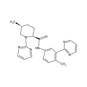 Cc1ccc(NC(=O)[C@@H]2CC[C@H](C)CN2c2ncccn2)cc1-c1ncccn1